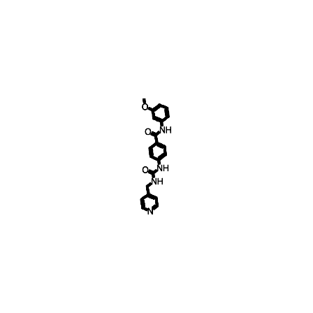 COc1cccc(NC(=O)c2ccc(NC(=O)NCc3ccncc3)cc2)c1